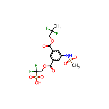 CC(F)(F)COC(=O)c1cc(NS(C)(=O)=O)cc(C(=O)OCC(F)(F)S(=O)(=O)O)c1